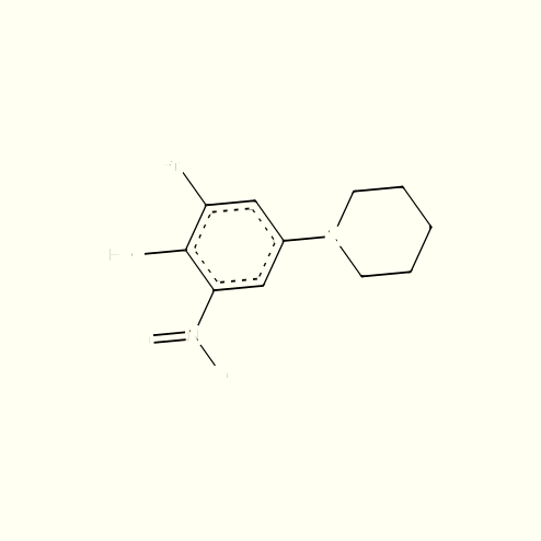 Cc1c(Br)cc(N2CCCCC2)cc1[N+](=O)[O-]